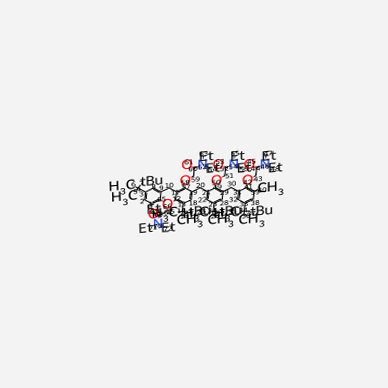 CCc1cc(C(C)(C)C(C)(C)C)cc(Cc2cc(C(C)(C)C(C)(C)C)cc(Cc3cc(C(C)(C)C(C)(C)C)cc(Cc4cc(C(C)(C)C(C)(C)C)cc(C)c4OCC(=O)N(CC)CC)c3OCC(=O)N(CC)CC)c2OCC(=O)N(CC)CC)c1OCC(=O)N(CC)CC